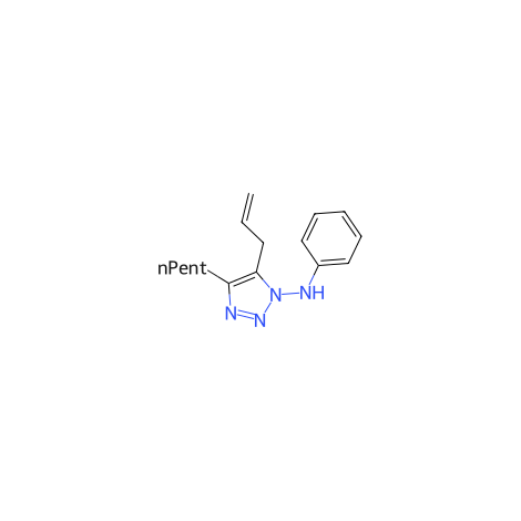 C=CCc1c(CCCCC)nnn1Nc1ccccc1